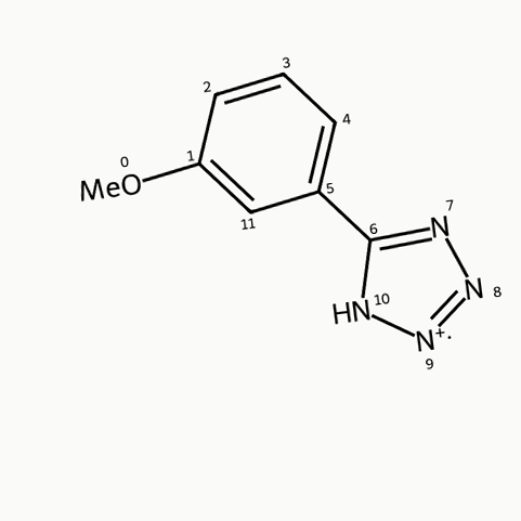 COc1cccc(C2=NN=[N+]N2)c1